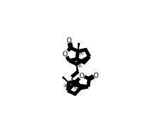 C[C@H]1C2OC(=O)C3C2CC1[C@@H]3CC[C@@H]1C2CC3C1OC(=O)[C@]3(C)C2